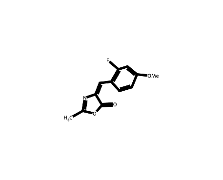 COc1ccc(C=C2N=C(C)OC2=O)c(F)c1